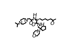 CC(=O)CCCCC[C@H](NC(=O)CN1CCN(C(C)C)CC1)C(=O)NCC1(N2CCOCC2)CCCC1